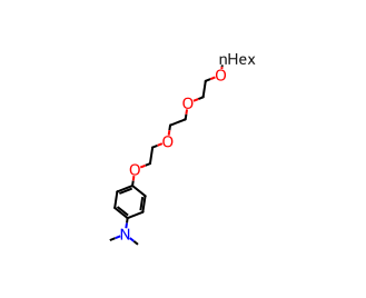 CCCCCCOCCOCCOCCOc1ccc(N(C)C)cc1